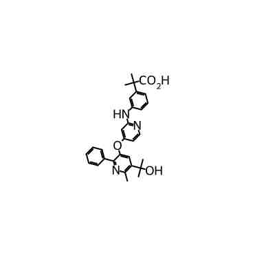 Cc1nc(-c2ccccc2)c(Oc2ccnc(Nc3cccc(C(C)(C)C(=O)O)c3)c2)cc1C(C)(C)O